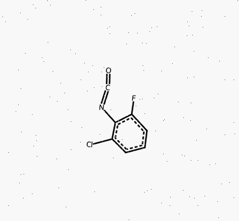 O=C=Nc1c(F)cccc1Cl